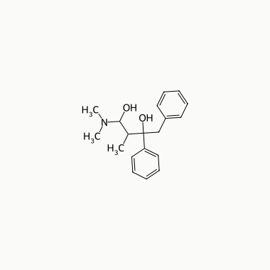 CC(C(O)N(C)C)C(O)(Cc1ccccc1)c1ccccc1